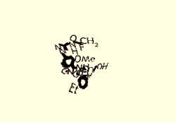 C=C(F)C(=O)NCc1cnn(Cc2cc(OC)c3c(NS(=O)(=O)c4cc(CC)ccc4OCCO)noc3c2)c1